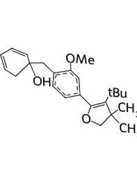 COc1cc(C2=C(C(C)(C)C)C(C)(C)CO2)ccc1CC1(O)C=CC=CC1